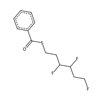 O=C(SCCC(F)C(F)CCF)c1ccccc1